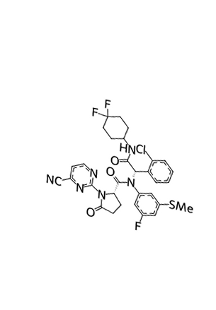 CSc1cc(F)cc(N(C(=O)[C@@H]2CCC(=O)N2c2nccc(C#N)n2)[C@H](C(=O)NC2CCC(F)(F)CC2)c2ccccc2Cl)c1